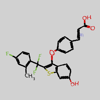 Cc1cc(F)ccc1C(F)(F)c1sc2cc(O)ccc2c1Oc1ccc(/C=C/C(=O)O)cc1